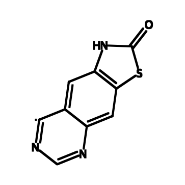 O=c1[nH]c2cc3[c]ncnc3cc2s1